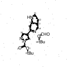 CC(C)(C)OC(=O)n1cc(-c2cc3[nH]ccc3cn2)cn1.CC(C)(C)OC=O